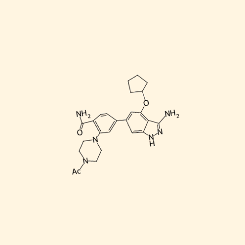 CC(=O)N1CCN(c2cc(-c3cc(OC4CCCC4)c4c(N)n[nH]c4c3)ccc2C(N)=O)CC1